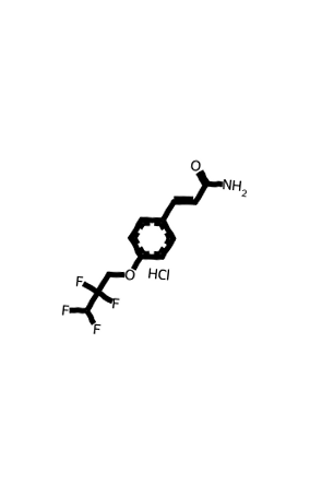 Cl.NC(=O)/C=C/c1ccc(OCC(F)(F)C(F)F)cc1